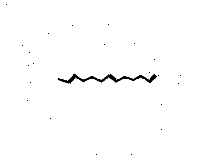 [CH]=CCCCC=CCCCC=CC